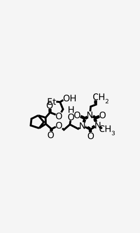 C=CCn1c(=O)n(C)c(=O)n(CC(O)COC(=O)C2C3CCC(C3)C2C(=O)OCC(O)CC)c1=O